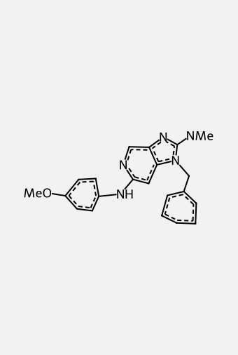 CNc1nc2cnc(Nc3ccc(OC)cc3)cc2n1Cc1ccccc1